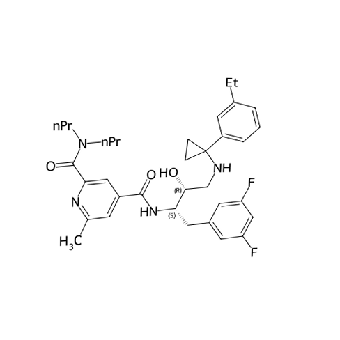 CCCN(CCC)C(=O)c1cc(C(=O)N[C@@H](Cc2cc(F)cc(F)c2)[C@H](O)CNC2(c3cccc(CC)c3)CC2)cc(C)n1